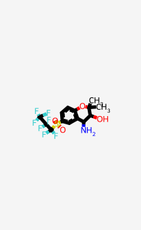 CC1(C)Oc2ccc(S(=O)(=O)C(F)(F)C(F)(F)C(F)(F)F)cc2C(N)C1O